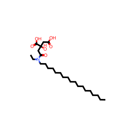 CCCCCCCCCCCCCCCCCCN(CC)C(=O)CC(O)(CC(=O)O)C(=O)O